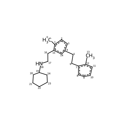 Cc1ccc(CCc2ccccc2C)cc1CCNC1CCCCC1